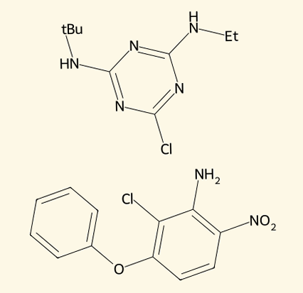 CCNc1nc(Cl)nc(NC(C)(C)C)n1.Nc1c([N+](=O)[O-])ccc(Oc2ccccc2)c1Cl